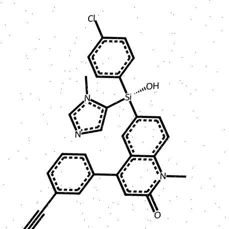 C#Cc1cccc(-c2cc(=O)n(C)c3ccc([Si@](O)(c4ccc(Cl)cc4)c4cncn4C)cc23)c1